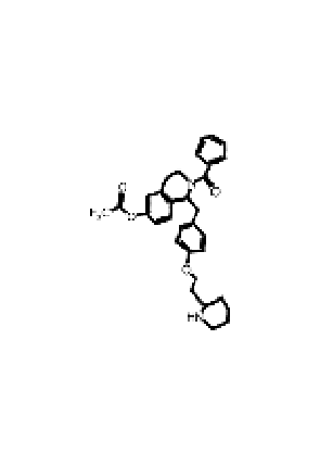 O=C(c1ccccc1)N1CCc2cc(OC(=O)C(F)(F)F)ccc2C1Cc1ccc(OCCC2CCCCN2)cc1